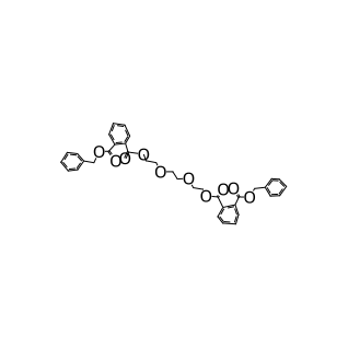 O=C(OCCOCCOCCOC(=O)c1ccccc1C(=O)OCc1ccccc1)c1ccccc1C(=O)OCc1ccccc1